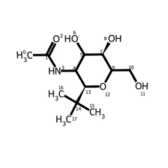 CC(=O)NC1C(O)[C@@H](O)C(CO)O[C@H]1C(C)(C)C